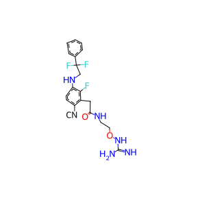 N#Cc1ccc(NCC(F)(F)c2ccccc2)c(F)c1CC(=O)NCCONC(=N)N